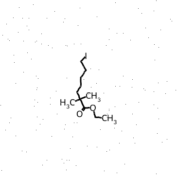 CCOC(=O)C(C)(C)CCCCCI